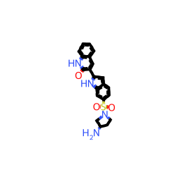 NC1CCN(S(=O)(=O)c2ccc3cc(-c4cc5ccccc5[nH]c4=O)[nH]c3c2)C1